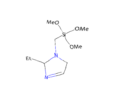 CCC1N=CCN1C[Si](OC)(OC)OC